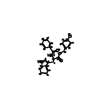 O=C(NC(Cc1c[nH]c2ccccc12)C(=O)OCc1ccc(Cl)cc1)c1ccccc1